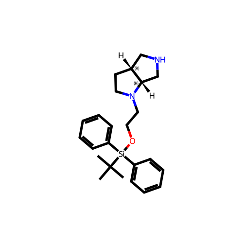 CC(C)(C)[Si](OCCN1CC[C@@H]2CNC[C@@H]21)(c1ccccc1)c1ccccc1